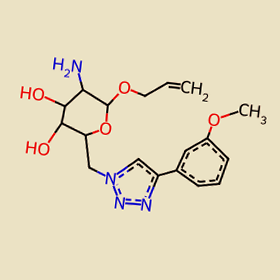 C=CCOC1OC(Cn2cc(-c3cccc(OC)c3)nn2)C(O)C(O)C1N